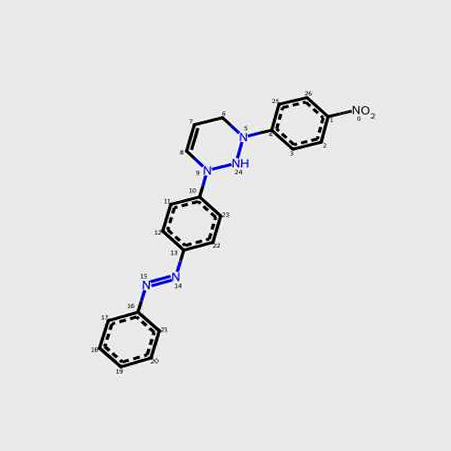 O=[N+]([O-])c1ccc(N2CC=CN(c3ccc(N=Nc4ccccc4)cc3)N2)cc1